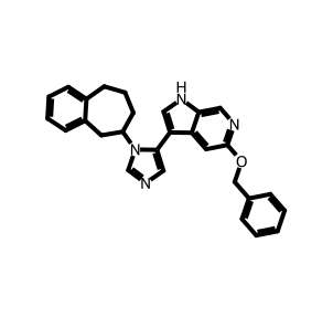 c1ccc(COc2cc3c(-c4cncn4C4CCCc5ccccc5C4)c[nH]c3cn2)cc1